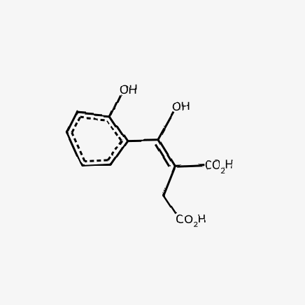 O=C(O)CC(C(=O)O)=C(O)c1ccccc1O